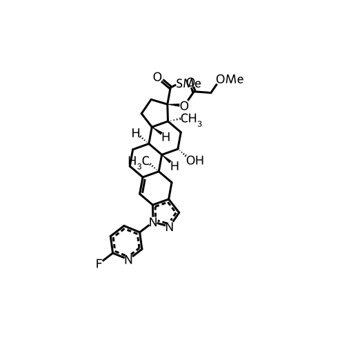 COCC(=O)O[C@]1(C(=O)SC)CC[C@H]2[C@@H]3CCC4=Cc5c(cnn5-c5ccc(F)nc5)C[C@]4(C)[C@H]3[C@@H](O)C[C@@]21C